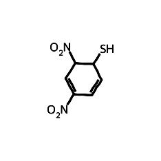 O=[N+]([O-])C1=CC([N+](=O)[O-])C(S)C=C1